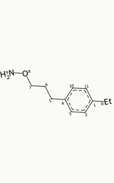 CCc1ccc(CCCON)cc1